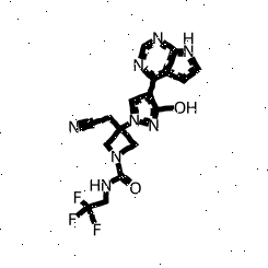 N#CCC1(n2cc(-c3ncnc4[nH]ccc34)c(O)n2)CN(C(=O)NCC(F)(F)F)C1